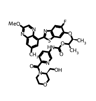 COc1cnc2c(-c3nc4cc(F)c(O[C@@H](C)[C@@H](C)OC(=O)Nc5ccc(C(=O)N6CCOC[C@@H]6CO)nc5)cc4s3)cc(C)cc2n1